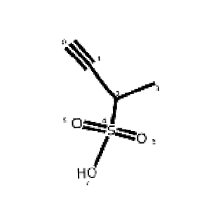 C#CC(C)S(=O)(=O)O